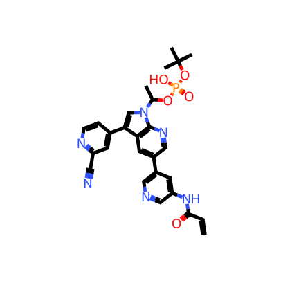 C=CC(=O)Nc1cncc(-c2cnc3c(c2)c(-c2ccnc(C#N)c2)cn3C(C)OP(=O)(O)OC(C)(C)C)c1